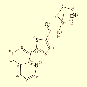 O=C(NC1CN2CCC1CC2)c1ccc(-c2cccc3cccnc23)s1